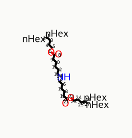 CCCCCCC(CCCCCC)CCCOC(=O)CCCCCNCCCCCC(=O)OCCCC(CCCCCC)CCCCCC